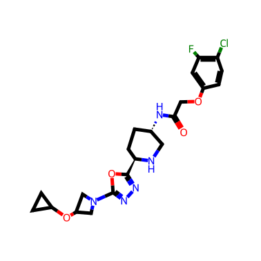 O=C(COc1ccc(Cl)c(F)c1)N[C@H]1CC[C@H](c2nnc(N3CC(OC4CC4)C3)o2)NC1